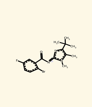 Cc1c(C(C)(C)C)s/c(=N\C(=O)c2cc(F)ccc2Br)n1C